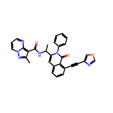 Cc1nn2cccnc2c1C(=O)NC(C)c1cc2cccc(C#Cc3cocn3)c2c(=O)n1-c1ccccc1